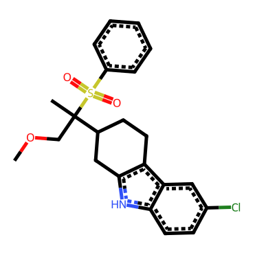 COCC(C)(C1CCc2c([nH]c3ccc(Cl)cc23)C1)S(=O)(=O)c1ccccc1